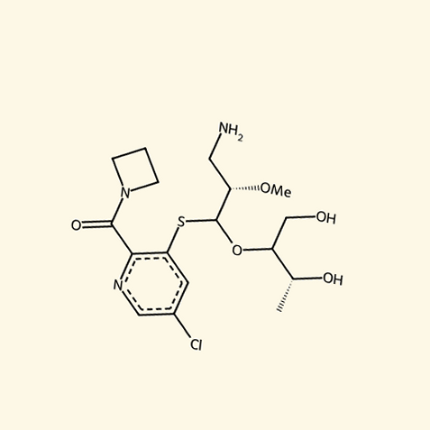 CO[C@@H](CN)C(OC(CO)[C@@H](C)O)Sc1cc(Cl)cnc1C(=O)N1CCC1